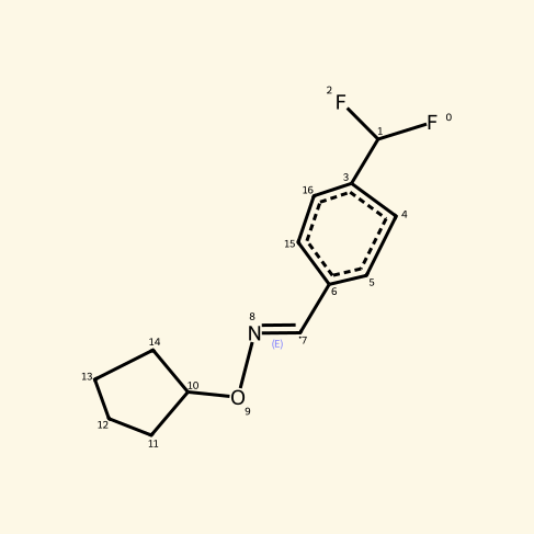 FC(F)c1ccc(/[C]=N/OC2CCCC2)cc1